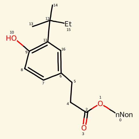 CCCCCCCCCOC(=O)CCc1ccc(O)c(C(C)(C)CC)c1